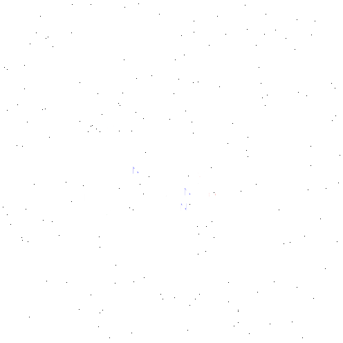 O=C(OCc1ccccc1)n1ncc2cc3c(cc(C4CCOCC4)n3-c3ccc(F)c(Cl)c3)cc21